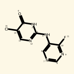 O=c1[nH]c(Nc2cncnc2F)ncc1Cl